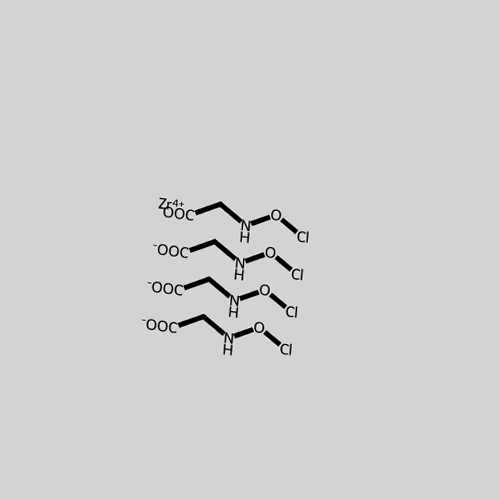 O=C([O-])CNOCl.O=C([O-])CNOCl.O=C([O-])CNOCl.O=C([O-])CNOCl.[Zr+4]